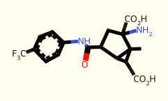 CC12C(C(=O)O)C1C(C(=O)Nc1ccc(C(F)(F)F)cc1)CC2(N)C(=O)O